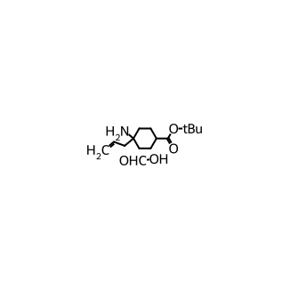 C=CCC1(N)CCC(C(=O)OC(C)(C)C)CC1.O=CO